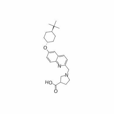 CC(C)(C)[C@H]1CC[C@H](Oc2ccc3nc(CN4CCC(C(=O)O)C4)ccc3c2)CC1